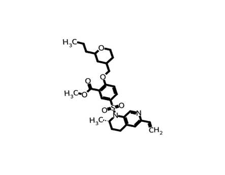 C=Cc1cc2c(cn1)N(S(=O)(=O)c1ccc(OCC3CCOC(CCC)C3)c(C(=O)OC)c1)[C@@H](C)CC2